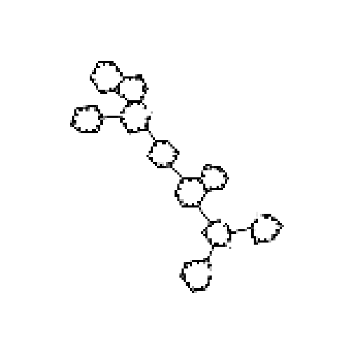 c1ccc(-c2cc(-c3ccc(-c4ccc(-c5cc(-c6ccccn6)nc(-c6ccccn6)n5)c5ccccc45)cc3)nc3ccc4ccccc4c23)cc1